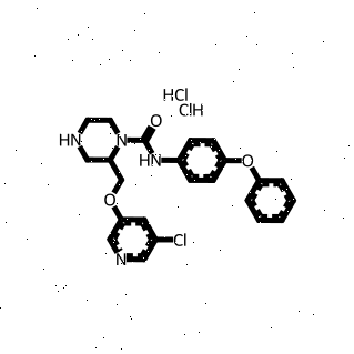 Cl.Cl.O=C(Nc1ccc(Oc2ccccc2)cc1)N1CCNCC1COc1cncc(Cl)c1